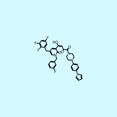 O=C(/C=C(/O)c1cc(Cc2cc(F)cc(F)c2F)cn(Cc2cccc(F)c2)c1=O)C(=O)N1CCN(c2ccc(-n3cccc3)cc2)CC1